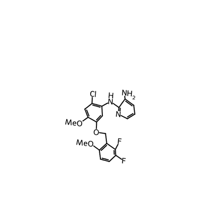 COc1cc(Cl)c(Nc2ncccc2N)cc1OCc1c(OC)ccc(F)c1F